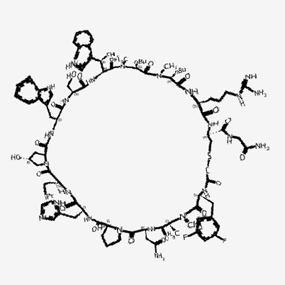 CCCC[C@H]1C(=O)N(C)[C@@H](CCCC)C(=O)N[C@@H](CCCNC(=N)N)C(=O)N[C@H](C(=O)NCC(N)=O)CSCC(=O)N[C@@H](Cc2cc(F)cc(F)c2)C(=O)N(C)[C@@H](C)C(=O)N[C@@H](CC(N)=O)C(=O)N2CCC[C@H]2C(=O)N[C@@H](Cc2cnc[nH]2)C(=O)N[C@@H](CC(C)C)C(=O)N2C[C@H](O)CC2C(=O)N[C@@H](Cc2c[nH]c3ccccc23)C(=O)N[C@@H](CO)C(=O)N[C@@H]([C@H](C)c2c[nH]c3ccccc23)C(=O)N1C